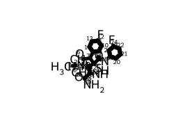 CC(C)(C)NC(=O)C(c1ccc(F)cc1)C1(C(=O)Nc2cccc(F)c2)SNC(C(N)=O)=C1N